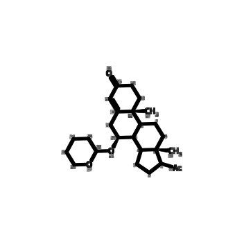 CC(=O)C1CCC2C3C(CC[C@]12C)[C@@]1(C)CCC(=O)C=C1C[C@@H]3OC1CCCCO1